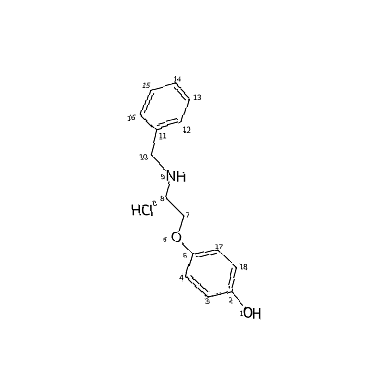 Cl.Oc1ccc(OCCNCc2ccccc2)cc1